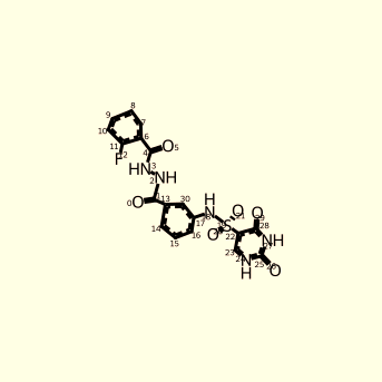 O=C(NNC(=O)c1ccccc1F)c1cccc(NS(=O)(=O)c2c[nH]c(=O)[nH]c2=O)c1